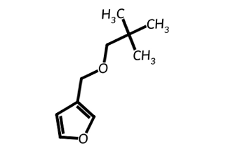 CC(C)(C)COCc1ccoc1